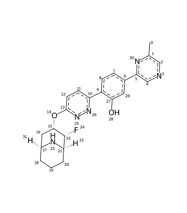 Cc1cncc(-c2ccc(-c3ccc(O[C@H]4C[C@@H]5CCC[C@@H](N5)[C@H]4F)nn3)c(O)c2)n1